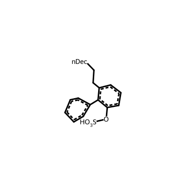 CCCCCCCCCCCCc1cccc(OS(=O)(=O)O)c1-c1ccccc1